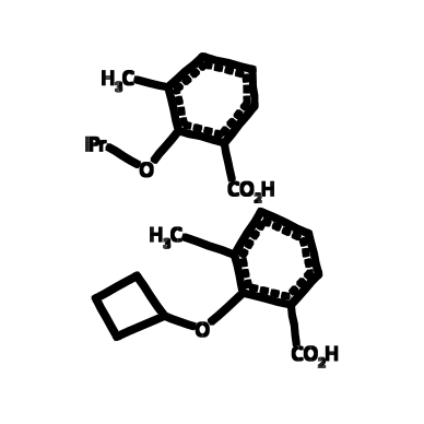 Cc1cccc(C(=O)O)c1OC(C)C.Cc1cccc(C(=O)O)c1OC1CCC1